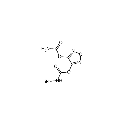 CC(C)NC(=O)Oc1nonc1OC(N)=O